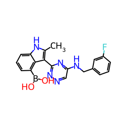 Cc1[nH]c2cccc(B(O)O)c2c1-c1nncc(NCc2cccc(F)c2)n1